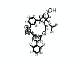 CCC(C)(CCO)N1C(=O)c2cccc(c2)S(=O)(=O)Nc2nc(cc(-c3c(C)cccc3C)n2)OC[C@H]1CC(C)C